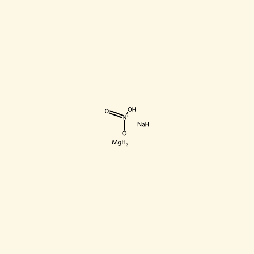 O=[N+]([O-])O.[MgH2].[NaH]